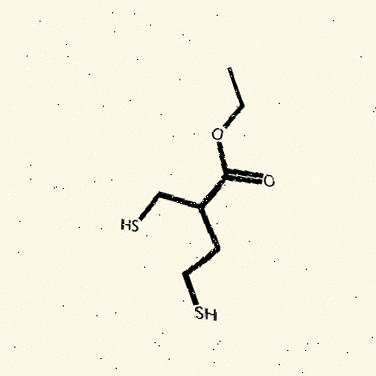 CCOC(=O)C(CS)CCS